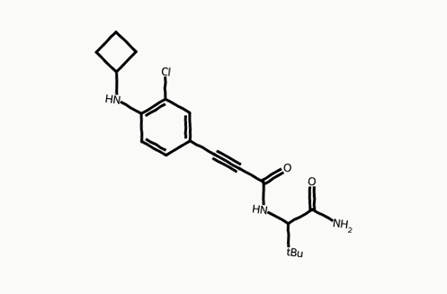 CC(C)(C)C(NC(=O)C#Cc1ccc(NC2CCC2)c(Cl)c1)C(N)=O